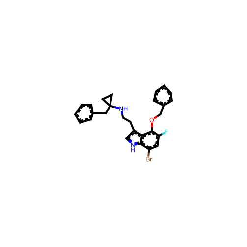 Fc1cc(Br)c2[nH]cc(CCNC3(Cc4ccccc4)CC3)c2c1OCc1ccccc1